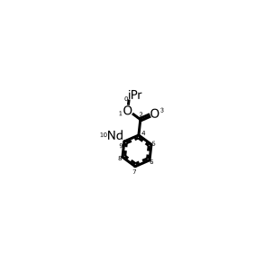 CC(C)OC(=O)c1ccccc1.[Nd]